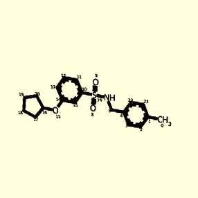 Cc1ccc(CNS(=O)(=O)c2cccc(OC3CCCC3)c2)cc1